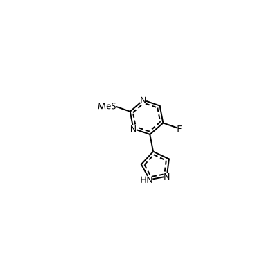 CSc1ncc(F)c(-c2cn[nH]c2)n1